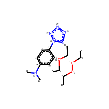 CCOCC.CCOOCC.CN(C)c1ccc(-n2nnnn2)cc1